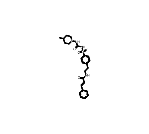 CC1CCN(NC(=O)NS(=O)(=O)c2ccc(CCNC(=O)C=Cc3ccccc3)cc2)CC1